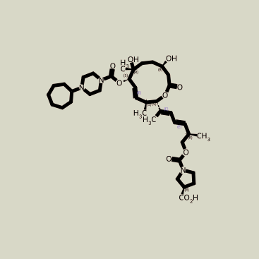 C/C(=C\C=C\[C@@H](C)COC(=O)N1CC[C@@H](C(=O)O)C1)[C@H]1OC(=O)C[C@H](O)CC[C@@](C)(O)[C@@H](OC(=O)N2CCN(C3CCCCCC3)CC2)/C=C/[C@@H]1C